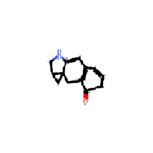 O=C1CC=CC2=C1CC13CC1CNC3=C2